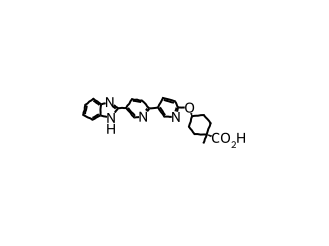 C[C@]1(C(=O)O)CC[C@@H](Oc2ccc(-c3ccc(-c4nc5ccccc5[nH]4)cn3)cn2)CC1